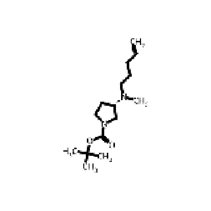 C=CCCCN(C)[C@H]1CCN(C(=O)OC(C)(C)C)C1